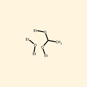 CCOC(C)OCC.CCOCC